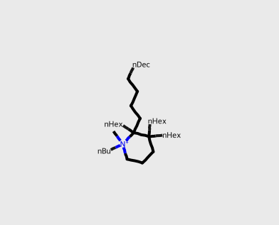 CCCCCCCCCCCCCCC1(CCCCCC)C(CCCCCC)(CCCCCC)CCC[N+]1(C)CCCC